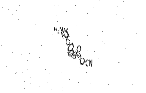 CCc1cc(Oc2ccnc(N)n2)ccc1N1C(=O)CN(c2cccc(C#N)c2)C1=O